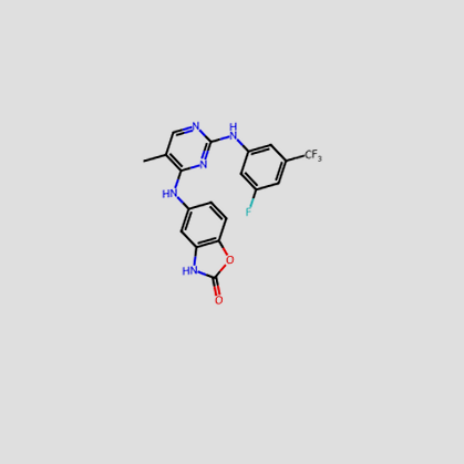 Cc1cnc(Nc2cc(F)cc(C(F)(F)F)c2)nc1Nc1ccc2oc(=O)[nH]c2c1